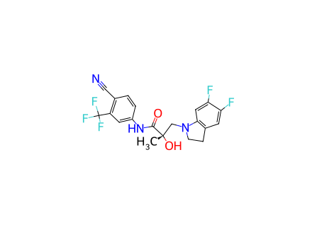 C[C@](O)(CN1CCc2cc(F)c(F)cc21)C(=O)Nc1ccc(C#N)c(C(F)(F)F)c1